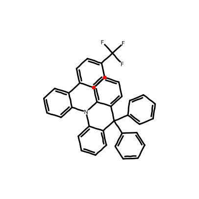 FC(F)(F)c1ccc(-c2ccccc2N2c3ccccc3C(c3ccccc3)(c3ccccc3)c3ccccc32)cc1